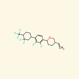 C=CC1CCC(c2ccc(C3CCC(C(F)(F)F)C(F)(F)C3)c(F)c2F)OC1